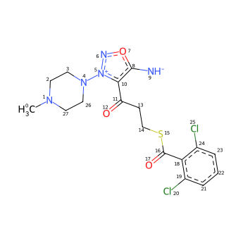 CN1CCN([n+]2noc([NH-])c2C(=O)CCSC(=O)c2c(Cl)cccc2Cl)CC1